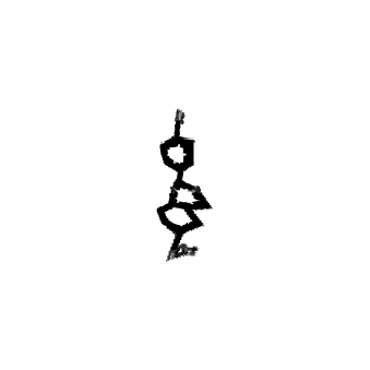 CCCCCCCCC1CCc2nc(-c3ccc(CC)cc3)ncc2C1